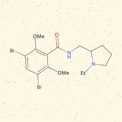 CCN1CCCC1CNC(=O)c1c(OC)c(Br)cc(Br)c1OC